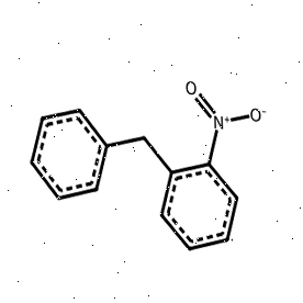 O=[N+]([O-])c1c[c]ccc1Cc1ccccc1